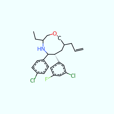 C=CCC1COCC(CC)NC(c2ccc(Cl)cc2)[C@@H](c2cc(F)cc(Cl)c2)C1